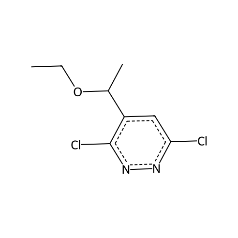 CCOC(C)c1cc(Cl)nnc1Cl